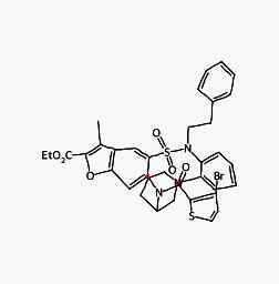 CCOC(=O)c1oc2ccc(S(=O)(=O)N(CCc3ccccc3)c3ccccc3N3CC4CC(C3)N4C(=O)c3sccc3Br)cc2c1C